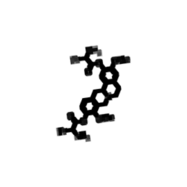 COc1cc2c(cc1OC(=O)C(N)C(C)C)C1Cc3ccc(OC(=O)C(N)C(C)C)c(OC)c3CN1CC2